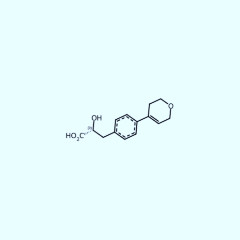 O=C(O)[C@H](O)Cc1ccc(C2=CCOCC2)cc1